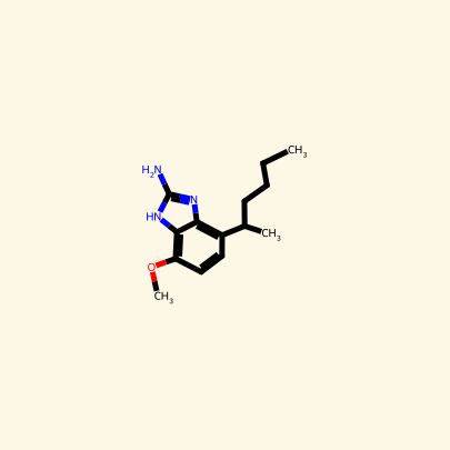 CCCCC(C)c1ccc(OC)c2[nH]c(N)nc12